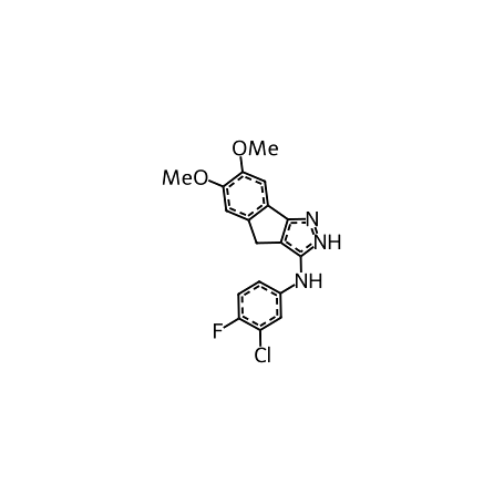 COc1cc2c(cc1OC)-c1n[nH]c(Nc3ccc(F)c(Cl)c3)c1C2